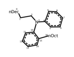 CCCCCCCCCCCCN(c1ccccc1)c1ccccc1CCCCCCCC